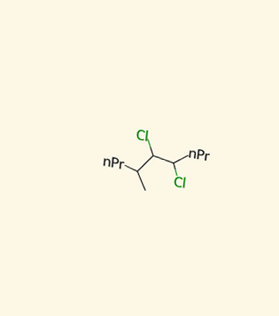 CCCC(C)C(Cl)C(Cl)CCC